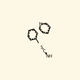 Cc1ccccc1.N=C=S.c1ccncc1